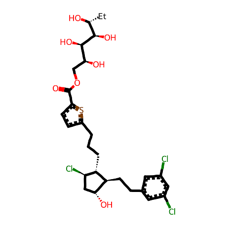 CC[C@@H](O)[C@@H](O)[C@H](O)[C@@H](O)COC(=O)c1ccc(CCC[C@@H]2[C@@H](CCc3cc(Cl)cc(Cl)c3)[C@H](O)C[C@H]2Cl)s1